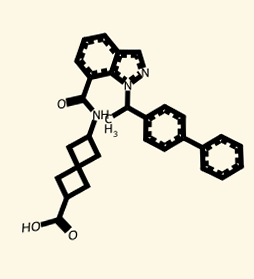 CC(c1ccc(-c2ccccc2)cc1)n1ncc2cccc(C(=O)NC3CC4(C3)CC(C(=O)O)C4)c21